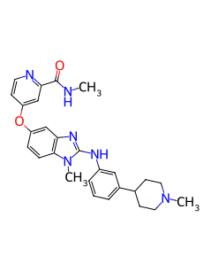 CNC(=O)c1cc(Oc2ccc3c(c2)nc(Nc2cccc(C4CCN(C)CC4)c2)n3C)ccn1